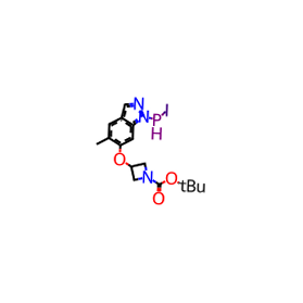 Cc1cc2cnn(PI)c2cc1OC1CN(C(=O)OC(C)(C)C)C1